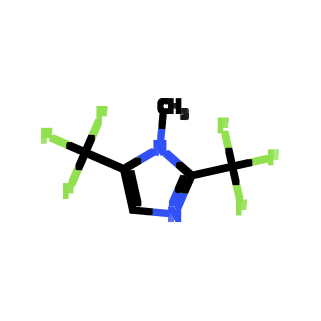 Cn1c(C(F)(F)F)cnc1C(F)(F)F